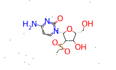 CS(=O)(=O)C1C(O)[C@@H](CO)O[C@H]1n1ccc(N)nc1=O